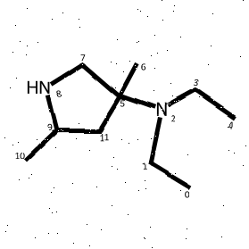 CCN(CC)C1(C)CNC(C)C1